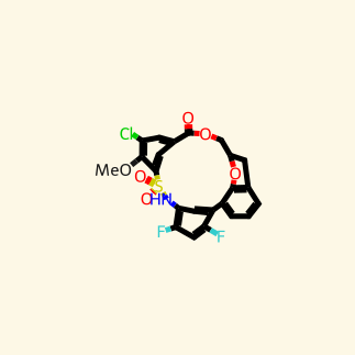 COc1c(Cl)cc2cc1S(=O)(=O)Nc1cc(c(F)cc1F)-c1cccc3c1OC(COC2=O)C3